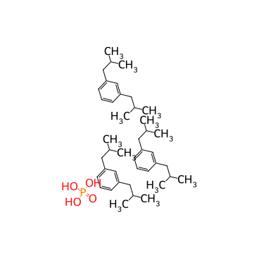 CC(C)Cc1cccc(CC(C)C)c1.CC(C)Cc1cccc(CC(C)C)c1.CC(C)Cc1cccc(CC(C)C)c1.O=P(O)(O)O